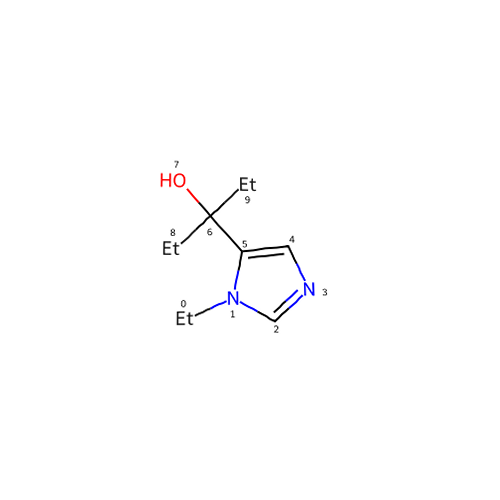 CCn1cncc1C(O)(CC)CC